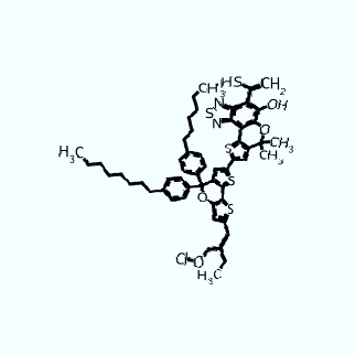 C=C(S)c1c(O)c2c(c3nsnc13)-c1sc(-c3cc4c(s3)-c3sc(/C=C(/CC)COCl)cc3OC4(c3ccc(CCCCCC)cc3)c3ccc(CCCCCCCC)cc3)cc1C(C)(C)O2